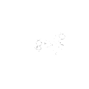 O=C(C1CCC(O)CC1)N1c2ccccc2CCC1CN1CCN(c2cccc3[nH]ccc23)CC1